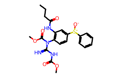 CCCC(=O)Nc1cc([S+]([O-])c2ccccc2)ccc1N(C(=N)NC(=O)OC)C(=O)OC